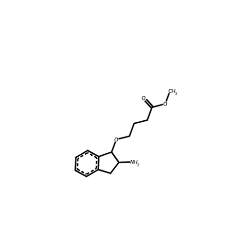 COC(=O)CCCOC1c2ccccc2CC1N